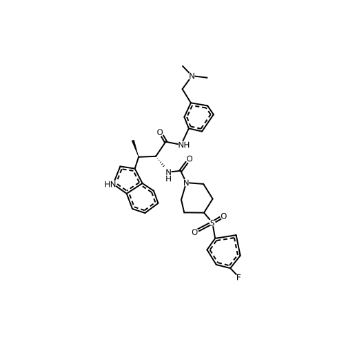 C[C@H](c1c[nH]c2ccccc12)[C@@H](NC(=O)N1CCC(S(=O)(=O)c2ccc(F)cc2)CC1)C(=O)Nc1cccc(CN(C)C)c1